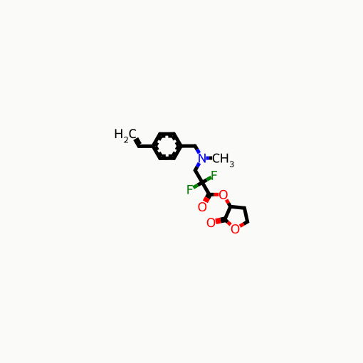 C=Cc1ccc(CN(C)CC(F)(F)C(=O)OC2CCOC2=O)cc1